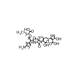 CCSC(O/N=C(\C(=O)N[C@@H]1C(=O)N2C(C(=O)O)=C(CSc3snc(O)c3C(=O)O)CS[C@@H]12)c1csc(N)n1)C(=O)O